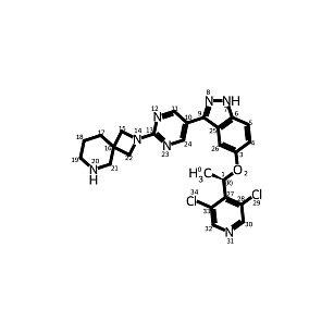 C[C@@H](Oc1ccc2[nH]nc(-c3cnc(N4CC5(CCCNC5)C4)nc3)c2c1)c1c(Cl)cncc1Cl